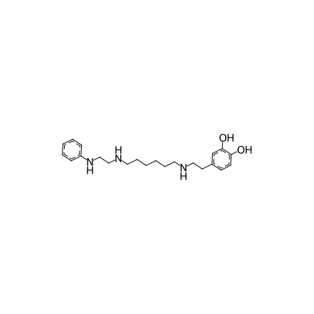 Oc1ccc(CCNCCCCCCNCCNc2ccccc2)cc1O